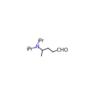 CC(C)N(C(C)C)C(C)CCC=O